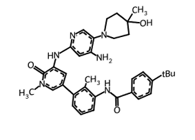 Cc1c(NC(=O)c2ccc(C(C)(C)C)cc2)cccc1-c1cc(Nc2cc(N)c(N3CCC(C)(O)CC3)cn2)c(=O)n(C)c1